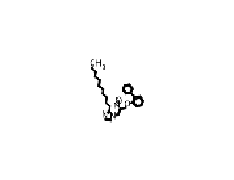 CCCCCCCCCCCc1nccn1/C=C(/COc1ccccc1-c1ccccc1)N=O